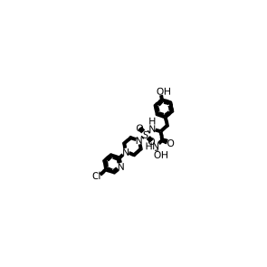 O=C(NO)C(Cc1ccc(O)cc1)NS(=O)(=O)N1CCN(c2ccc(Cl)cn2)CC1